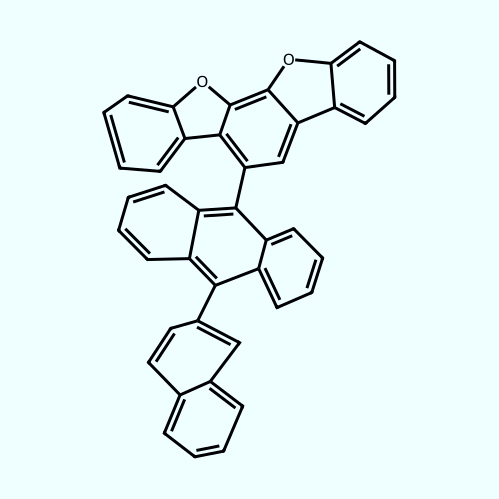 c1ccc2cc(-c3c4ccccc4c(-c4cc5c6ccccc6oc5c5oc6ccccc6c45)c4ccccc34)ccc2c1